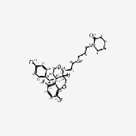 O=C1CCCCN1CCCSCC[C@@H]1OCC[C@@]2(Cc3ccc(Cl)cc3)c3c(F)ccc(F)c3OC[C@@H]12